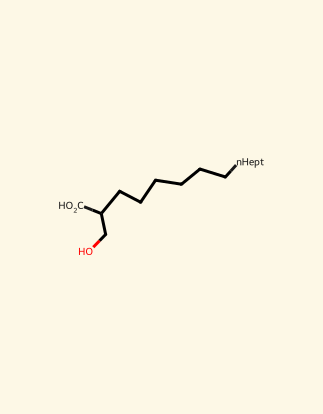 CCCCCCCCCCCCCC(CO)C(=O)O